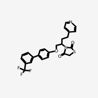 O=C1CSC(=O)N1C(CCc1ccncc1)COc1ccc(-c2cccc(C(F)(F)F)c2)cc1